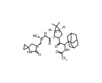 CC1(C)[C@@H]2[C@@H](C(=O)N[C@H](C#N)C[C@@H]3CC4(CC4)NC3=O)N(C(=O)C(NC(=O)C(F)(F)F)C34CC5CC(CC(C5)C3)C4)C[C@@H]21